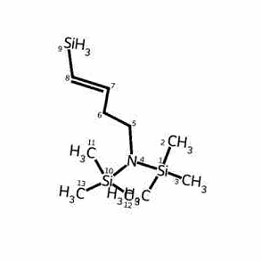 C[Si](C)(C)N(CCC=C[SiH3])[Si](C)(C)C